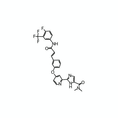 CN(C)C(=O)c1cnc(-c2cc(Oc3cccc(C=CC(=O)Nc4ccc(F)c(C(F)(F)F)c4)c3)ccn2)[nH]1